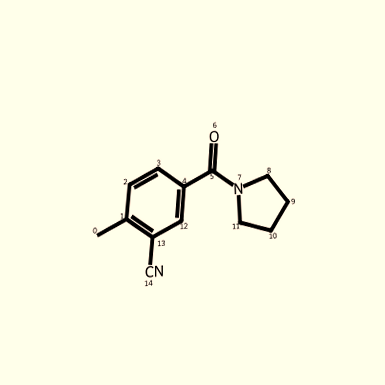 Cc1ccc(C(=O)N2CCCC2)cc1C#N